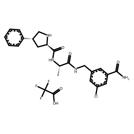 C[C@H](NC(=O)[C@H]1C[C@H](c2ccccc2)CN1)C(=O)NCc1cc(Cl)cc(C(N)=O)c1.O=C(O)C(F)(F)F